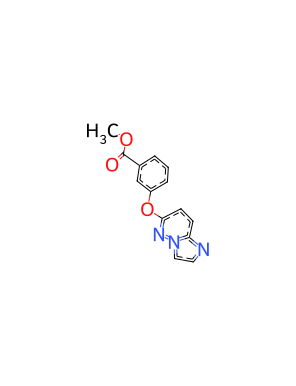 COC(=O)c1cccc(Oc2ccc3nccn3n2)c1